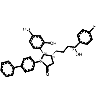 O=C1C[C@@H](CCC[C@H](O)c2ccc(F)cc2)[C@@H](c2ccc(O)cc2O)N1c1ccc(-c2ccccc2)cc1